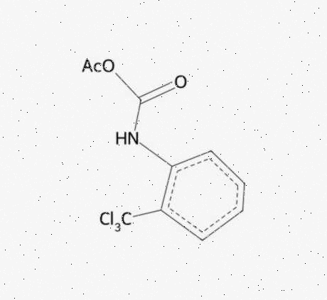 CC(=O)OC(=O)Nc1ccccc1C(Cl)(Cl)Cl